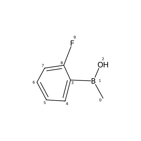 CB(O)c1ccccc1F